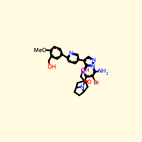 COc1ccc(-c2ccc(-c3cnn4c(N)c(Br)c(C5CC6CCC(C5)N6C(=O)CO)nc34)cn2)cc1CO